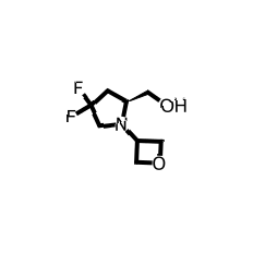 OC[C@@H]1CC(F)(F)CN1C1COC1